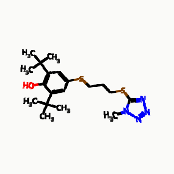 Cn1nnnc1SCCCSc1cc(C(C)(C)C)c(O)c(C(C)(C)C)c1